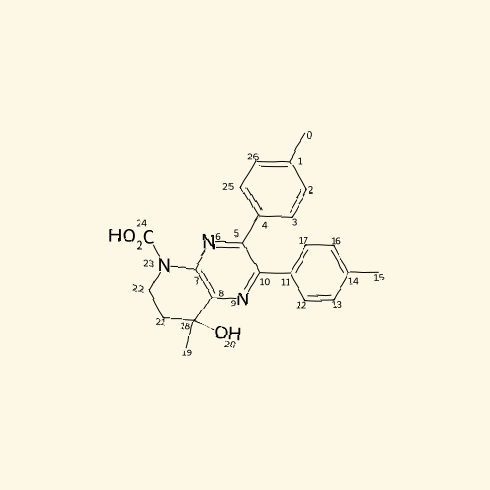 Cc1ccc(-c2nc3c(nc2-c2ccc(C)cc2)C(C)(O)CCN3C(=O)O)cc1